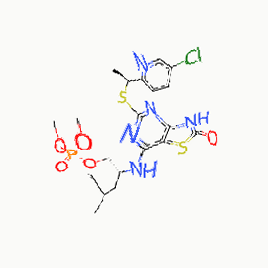 COP(=O)(OC)OC[C@@H](CC(C)C)Nc1nc(S[C@@H](C)c2ccc(Cl)cn2)nc2[nH]c(=O)sc12